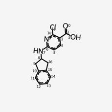 O=C(O)c1ccc(NC2Cc3ccccc3C2)nc1Cl